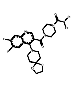 CCN(CC)C(=O)N1CCN(C(=O)c2cnc3cc(F)c(F)cc3c2N2CCC3(CC2)OCCO3)CC1